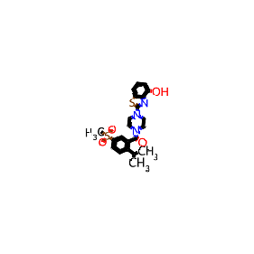 CC(C)c1ccc(S(C)(=O)=O)cc1C(=O)N1CCN(c2nc3c(O)cccc3s2)CC1